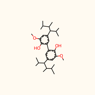 COc1cc(C(C(C)C)C(C)C(C)C)cc(-c2cc(C(C(C)C)C(C)C(C)C)cc(OC)c2O)c1O